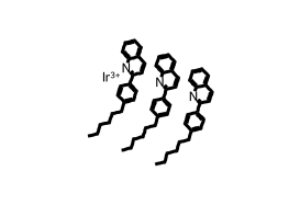 CCCCCCc1ccc(-c2ccc3ccccc3n2)cc1.CCCCCCc1ccc(-c2ccc3ccccc3n2)cc1.CCCCCCc1ccc(-c2ccc3ccccc3n2)cc1.[Ir+3]